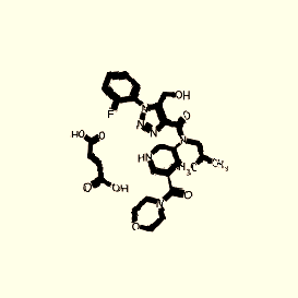 CC(C)CN(C(=O)c1nnn(-c2ccccc2F)c1CO)[C@@H]1CNC[C@H](C(=O)N2CCOCC2)C1.O=C(O)C=CC(=O)O